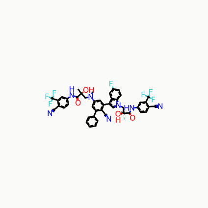 CN(CC(C)(O)C(=O)Nc1ccc(C#N)c(C(F)(F)F)c1)c1cc(-c2ccccc2)c(C#N)c(-c2cn(C[C@](C)(O)C(=O)Nc3ccc(C#N)c(C(F)(F)F)c3)c3ccc(F)cc23)c1